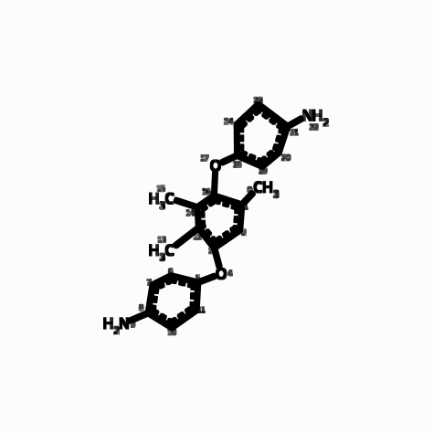 Cc1cc(Oc2ccc(N)cc2)c(C)c(C)c1Oc1ccc(N)cc1